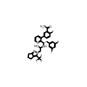 NC(=O)c1cc(-c2cccnc2[C@H](Cc2cc(F)cc(F)c2)NC(O)Cn2nc3c(c2C(F)(F)F)CCC3)ccc1F